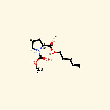 C=CCCCOC(=O)[C@@H]1CCCN1C(=O)OC(C)(C)C